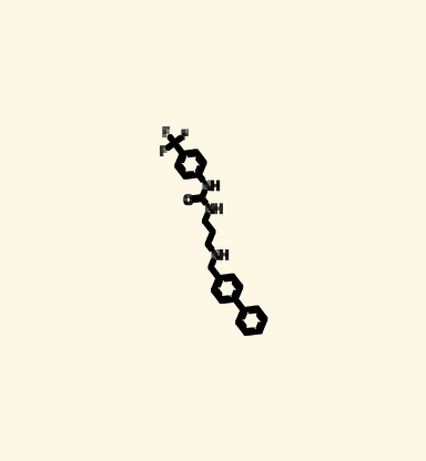 O=C(NCCCNCc1ccc(-c2ccccc2)cc1)Nc1ccc(C(F)(F)F)cc1